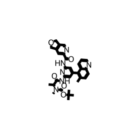 Cc1ccc2ncccc2c1-c1cc(NC(=O)c2cc3c(cn2)COC3)nc(NC(=O)C(C)N(C)C(=O)OC(C)(C)C)c1